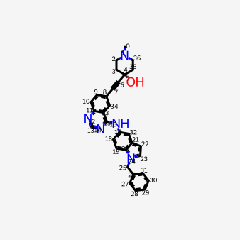 CN1CCC(O)(C#Cc2ccc3ncnc(Nc4ccc5c(ccn5Cc5ccccc5)c4)c3c2)CC1